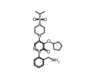 CC(C)S(=O)(=O)N1CCN(c2cnn(-c3ccccc3CN)c(=O)c2OC2CCCC2)CC1